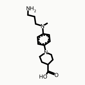 CN(CCCN)c1ccc(N2CCC(C(=O)O)CC2)cc1